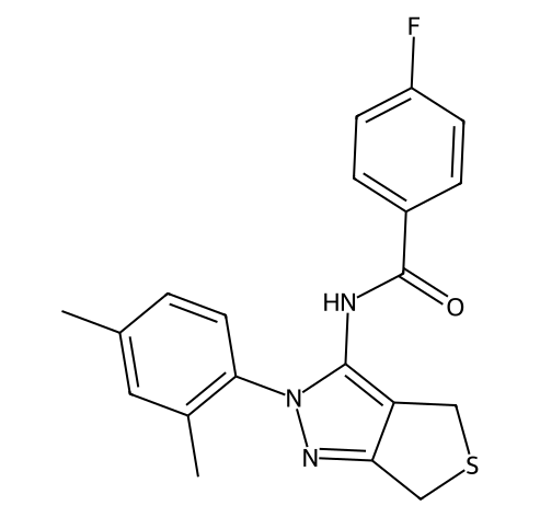 Cc1ccc(-n2nc3c(c2NC(=O)c2ccc(F)cc2)CSC3)c(C)c1